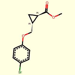 COC(=O)[C@@H]1C[C@H]1COc1ccc(Br)cc1